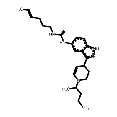 CC=CCCCNC(=O)Nc1ccc2[nH]nc(C3C=CN(C(C)CCC)CC3)c2c1